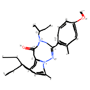 CCC(CC)c1cc(C)n2nc(-c3ccc(OC)cc3C)n(C(C)C)c(=O)c12